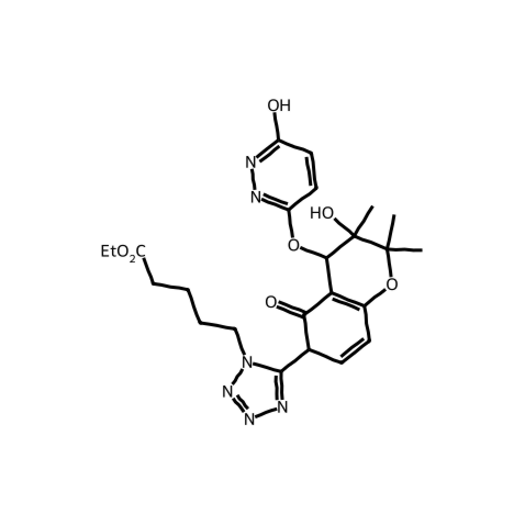 CCOC(=O)CCCCn1nnnc1C1C=CC2=C(C1=O)C(Oc1ccc(O)nn1)C(C)(O)C(C)(C)O2